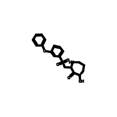 O=C1C(CS(=O)(=O)c2cccc(Oc3ccccc3)c2)NCCCN1O